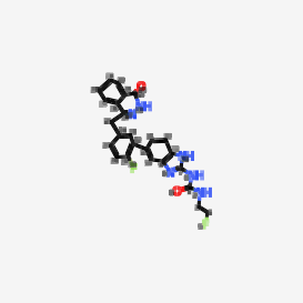 O=C(NCCF)Nc1nc2cc(-c3cc(Cc4n[nH]c(=O)c5ccccc45)ccc3F)ccc2[nH]1